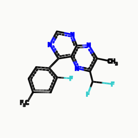 Cc1nc2ncnc(-c3ccc(C(F)(F)F)cc3F)c2nc1C(F)F